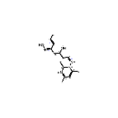 C/C=C/C(=N\O)NC(O)C/C=N\N1C(C)=CC(C)=NC1C